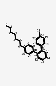 CCCCCCCc1ccc(-c2ccc[c]c2-c2ccc(C)cc2)cc1